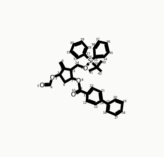 C=C1C(OC=O)CC(OC(=O)c2ccc(-c3ccccc3)cc2)C1CO[Si](c1ccccc1)(c1ccccc1)C(C)(C)C